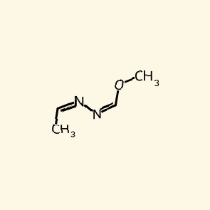 C/C=N\N=C/OC